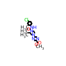 COC(=O)c1cnc(N2CCN(C(=O)Nc3ccc(Cl)cc3C)C(C(C)C)C2)cn1